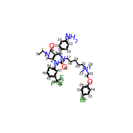 CCN1CC2=C(C1=O)[C@@H](c1ccc(N)cc1)N(CCCCC[N+](C)(C)CCOc1ccc(Br)cc1)C(=O)N2c1cccc(C(F)(F)F)c1